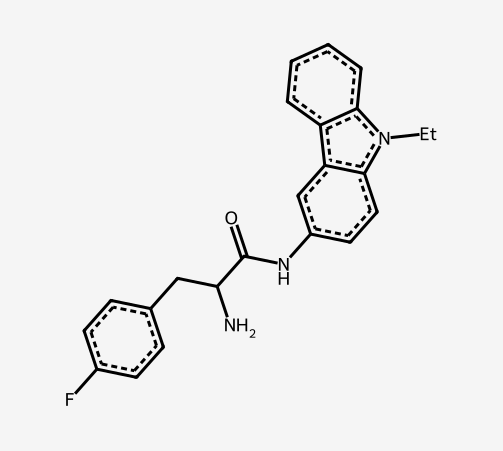 CCn1c2ccccc2c2cc(NC(=O)C(N)Cc3ccc(F)cc3)ccc21